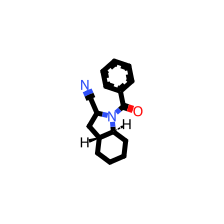 N#CC1C[C@H]2CCCC[C@@H]2N1C(=O)c1ccccc1